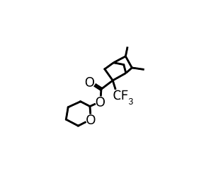 CC1C2CC(C1C)C(C(=O)OC1CCCCO1)(C(F)(F)F)C2